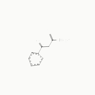 CCCCCCCC(=O)CC(=O)c1ccccc1